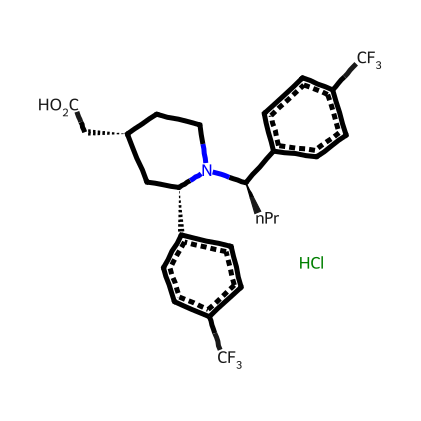 CCC[C@H](c1ccc(C(F)(F)F)cc1)N1CC[C@@H](CC(=O)O)C[C@H]1c1ccc(C(F)(F)F)cc1.Cl